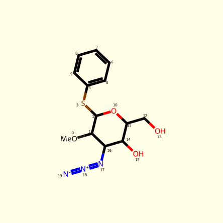 COC1C(Sc2ccccc2)OC(CO)C(O)C1N=[N+]=[N-]